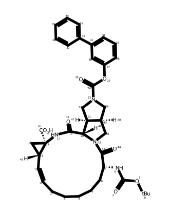 CC(C)(C)OC(=O)N[C@@H]1CCCCC/C=C\[C@@H]2C[C@@]2(C(=O)O)NC(=O)[C@@H]2[C@H]3CN(C(=O)Oc4cccc(-c5ccccc5)c4)C[C@H]3CN2C1=O